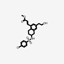 COC(=O)/C=C/c1cc(CCO)cc2c1CCC(NS(=O)(=O)c1ccc(Cl)cc1)C2